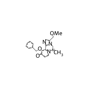 COCc1cnc2n1C[C@H](C)n1ccc(=O)c(OCc3ccccc3)c1-2